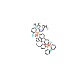 C=C/C(F)=C(\C=C/C)P(=O)(c1ccc2c(c1)C1(c3ccccc3CCc3ccc(P(=O)(c4ccccc4F)c4ccccc4F)cc31)c1ccccc1-2)c1ccccc1F